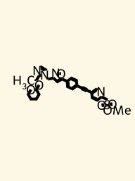 COS(=O)(=O)Cc1ccc(C#Cc2ccc(-c3cc(Cn4ccnc4[C@H](C)OC4CCCCO4)no3)cc2)cn1